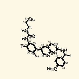 COc1ccc(C(C)Nc2ncc3cc(-c4cc(NC(=O)NCCC(C)(C)C)c(F)cc4C)cnc3n2)cc1